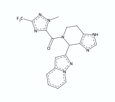 Cn1nc(C(F)(F)F)nc1C(=O)N1CCc2[nH]cnc2C1c1cc2ccccn2n1